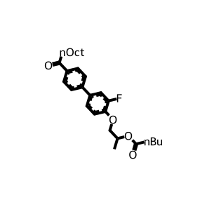 CCCCCCCCC(=O)c1ccc(-c2ccc(OCC(C)OC(=O)CCCC)c(F)c2)cc1